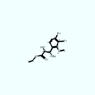 CCOC(=O)[C@@H](S)[C@H](O)c1ccc(F)c(F)c1OC